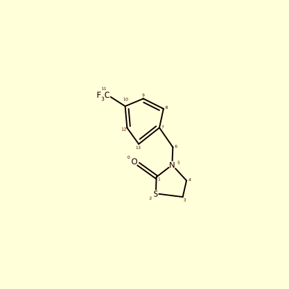 O=C1SCCN1Cc1ccc(C(F)(F)F)cc1